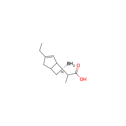 B[C@]1(C(C)C(=O)O)CC2CC(CC)=CC21